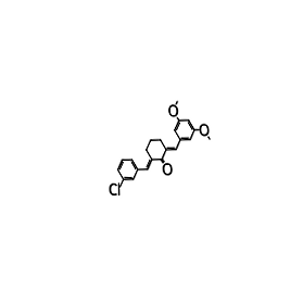 COc1cc(/C=C2\CCC/C(=C\c3cccc(Cl)c3)C2=O)cc(OC)c1